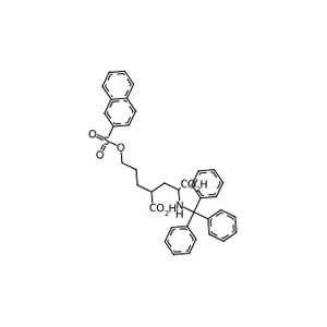 O=C(O)C(CCCOS(=O)(=O)c1ccc2ccccc2c1)CC(NC(c1ccccc1)(c1ccccc1)c1ccccc1)C(=O)O